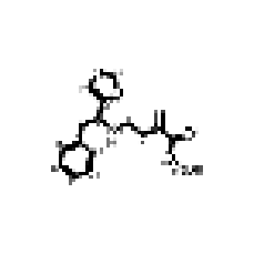 CC(C)(C)OC(=O)NCCNC(Cc1ccccc1)C1=COCO1